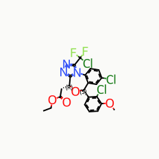 CCOC(=O)C[C@H]1O[C@H](c2cccc(OC)c2Cl)c2cc(Cl)ccc2-n2c1nnc2C(F)(F)Cl